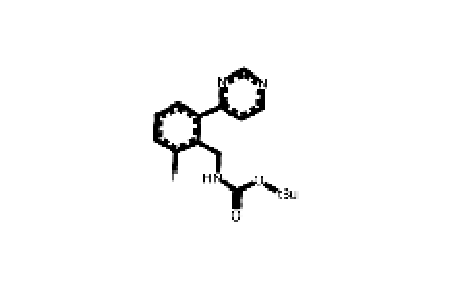 CC(C)(C)OC(=O)NCc1c(F)cccc1-c1ccncn1